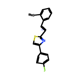 COc1ccccc1/C=C/c1nc(-c2ccc(F)cc2)cs1